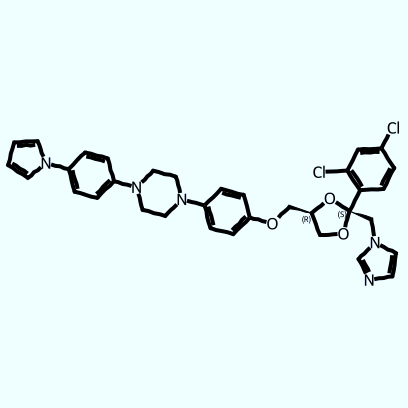 Clc1ccc([C@]2(Cn3ccnc3)OC[C@@H](COc3ccc(N4CCN(c5ccc(-n6cccc6)cc5)CC4)cc3)O2)c(Cl)c1